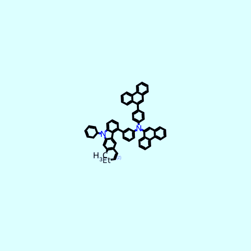 CC/C=C\c1cc2c3c(-c4cccc(N(c5ccc(-c6cc7ccccc7c7ccccc67)cc5)c5cc6ccccc6c6ccccc56)c4)cccc3n(C3C=CC=CC3)c2cc1C